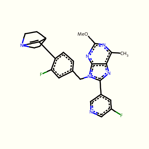 COc1nc(C)c2nc(-c3cncc(F)c3)n(Cc3ccc(C4=CN5CCC4CC5)c(F)c3)c2n1